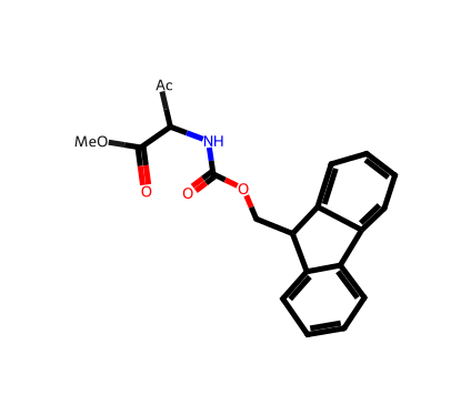 COC(=O)C(NC(=O)OCC1c2ccccc2-c2ccccc21)C(C)=O